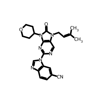 CC(C)=CCn1c(=O)n(C2CCOCC2)c2nc(-n3cnc4ccc(C#N)cc43)ncc21